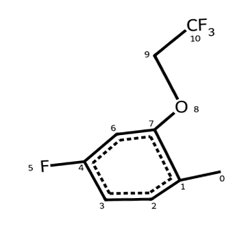 Cc1ccc(F)cc1OCC(F)(F)F